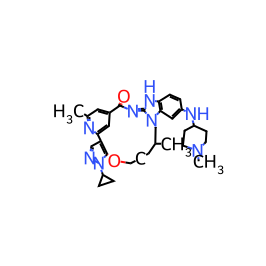 Cc1cc2cc(n1)-c1cnn(C3CC3)c1OCCCC(C)CN1/C(=N/C2=O)Nc2ccc(NC3CCN(C)CC3)cc21